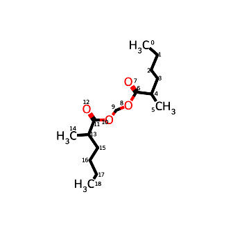 CCCCC(C)C(=O)OCOC(=O)C(C)CCCC